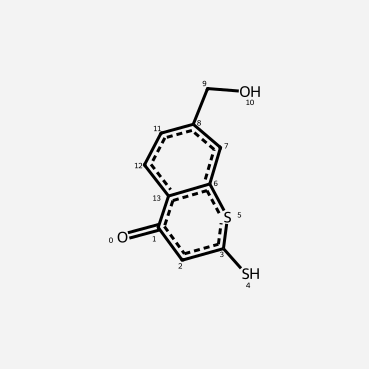 O=c1cc(S)sc2cc(CO)ccc12